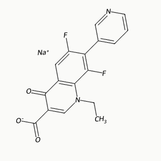 CCn1cc(C(=O)[O-])c(=O)c2cc(F)c(-c3cccnc3)c(F)c21.[Na+]